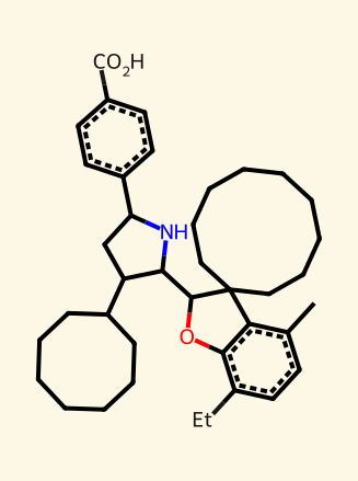 CCc1ccc(C)c2c1OC(C1NC(c3ccc(C(=O)O)cc3)CC1C1CCCCCCC1)C21CCCCCCCCC1